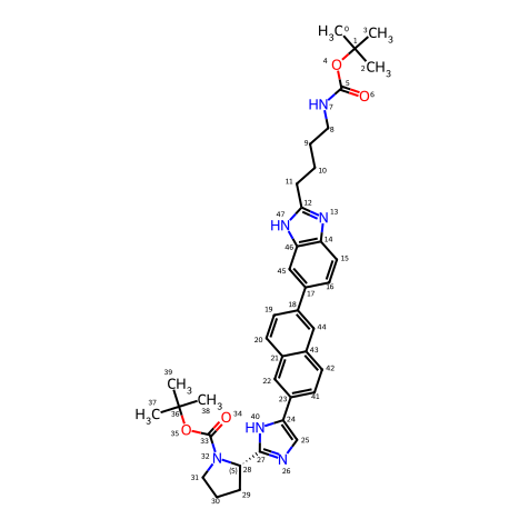 CC(C)(C)OC(=O)NCCCCc1nc2ccc(-c3ccc4cc(-c5cnc([C@@H]6CCCN6C(=O)OC(C)(C)C)[nH]5)ccc4c3)cc2[nH]1